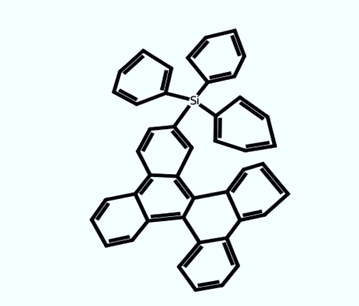 c1ccc([Si](c2ccccc2)(c2ccccc2)c2ccc3c4ccccc4c4c5ccccc5c5ccccc5c4c3c2)cc1